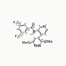 COc1cc(-c2ccncc2N(C)C(=O)c2cc(C(F)(F)F)cc(C(F)(F)F)c2)c(OC)nn1